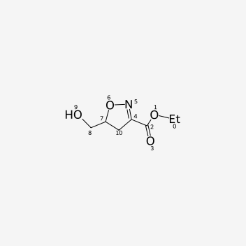 CCOC(=O)C1=NOC(CO)C1